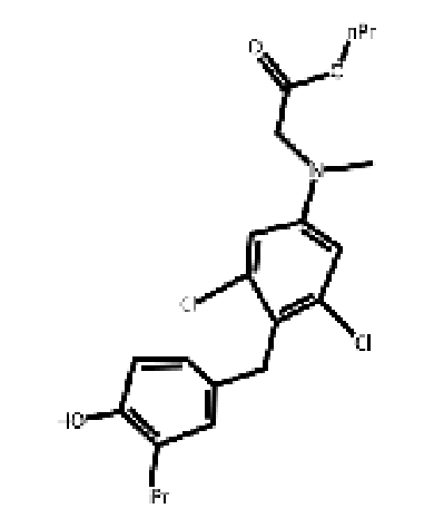 CCCOC(=O)CN(C)c1cc(Cl)c(Cc2ccc(O)c(C(C)C)c2)c(Cl)c1